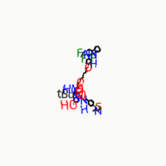 Cc1ncsc1-c1ccc(CNC(=O)[C@@H]2C[C@@H](O)CN2C(=O)C(NC(=O)COCCCCCOc2cc(F)c([C@@H]3c4[nH]c5ccccc5c4C[C@@H](C)N3CC(C)(C)F)c(F)c2)C(C)(C)C)cc1